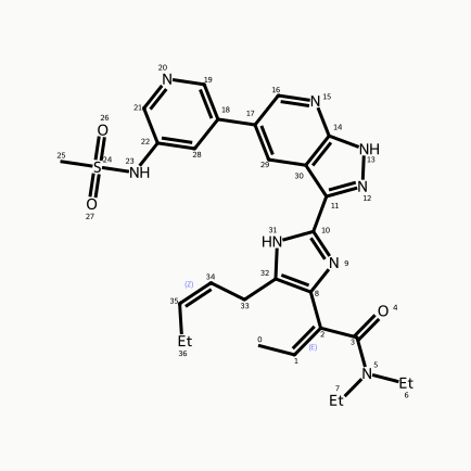 C/C=C(/C(=O)N(CC)CC)c1nc(-c2n[nH]c3ncc(-c4cncc(NS(C)(=O)=O)c4)cc23)[nH]c1C/C=C\CC